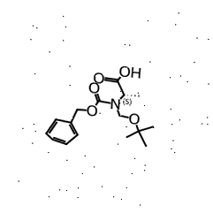 C[C@@H](C(=O)O)N(COC(C)(C)C)C(=O)OCc1ccccc1